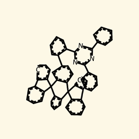 c1ccc(-c2nc(-c3ccccc3)nc(-c3ccccc3-c3ccc4c(c3)C3(c5ccccc5-c5ccccc53)c3ccccc3C43c4ccccc4-c4ccccc43)n2)cc1